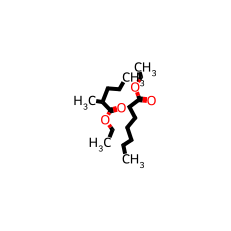 CCCC(C)C(=O)OCC.CCCCCCC(=O)OCC